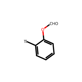 O=COc1cccc[c]1[Tl]